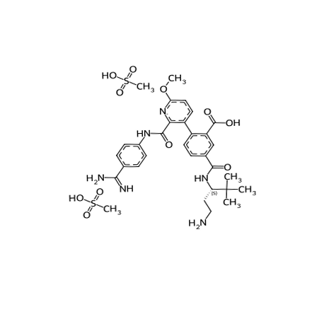 COc1ccc(-c2ccc(C(=O)N[C@@H](CCN)C(C)(C)C)cc2C(=O)O)c(C(=O)Nc2ccc(C(=N)N)cc2)n1.CS(=O)(=O)O.CS(=O)(=O)O